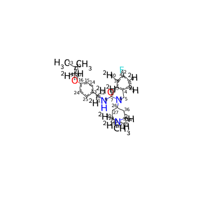 [2H]c1c([2H])c(CN(C(=O)NC([2H])([2H])c2ccc(OC([2H])([2H])C(C)C)cc2)C2CC([2H])([2H])N(C)C([2H])([2H])C2)c([2H])c([2H])c1F